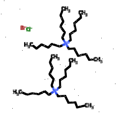 CCCCCC[N+](CCCCCC)(CCCCCC)CCCCCC.CCCCCC[N+](CCCCCC)(CCCCCC)CCCCCC.[Br-].[Cl-]